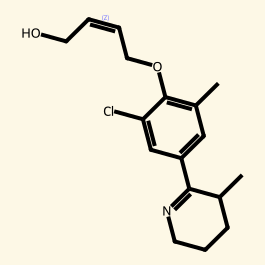 Cc1cc(C2=NCCCC2C)cc(Cl)c1OC/C=C\CO